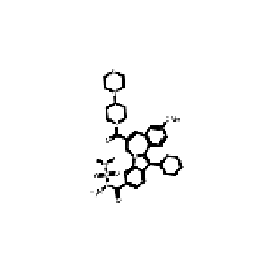 COc1ccc2c(c1)C=C(C(=O)N1CCC(N3CCOCC3)CC1)Cn1c-2c(C2CCCCC2)c2ccc(C(=O)N(N)S(=O)(=O)N(C)C)cc21